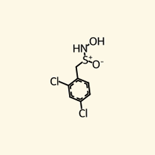 [O-][S+](Cc1ccc(Cl)cc1Cl)NO